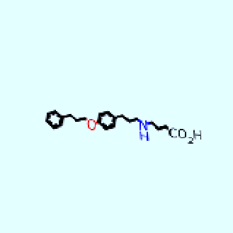 O=C(O)CCCNCCCc1ccc(OCCCc2ccccc2)cc1